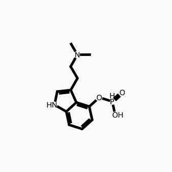 CN(C)CCc1c[nH]c2cccc(O[PH](=O)O)c12